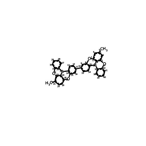 Cc1cc2c3c(c1)Oc1cc(-c4ccc5c(c4)Oc4ccc(C)c6c4B5c4ccccc4O6)ccc1B3c1ccccc1O2